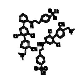 CCS(=O)(=O)c1ccc(CCNc2cc(Cl)c(-c3ccc(CN(C)C)c(C#N)c3)c(Cl)c2)cc1.CCS(=O)(=O)c1ccc(CCNc2ccccc2-c2cc(Cl)c(-c3ccc(CN(C)C)c(C#N)c3)c(Cl)c2)cc1